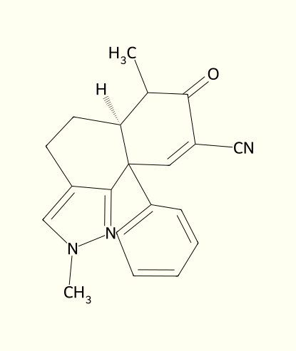 CC1C(=O)C(C#N)=CC2(c3ccccc3)c3nn(C)cc3CC[C@@H]12